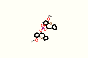 CC(C)Oc1cccc2c1Sc1ccccc1C=C2OP(O)OC1=Cc2ccccc2Sc2c(OC(C)C)cccc21